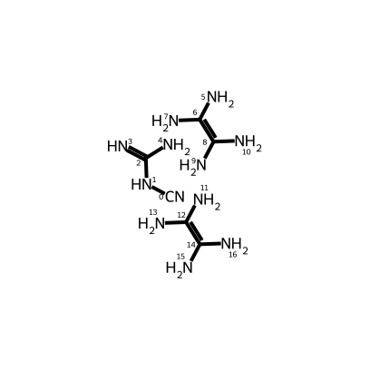 N#CNC(=N)N.NC(N)=C(N)N.NC(N)=C(N)N